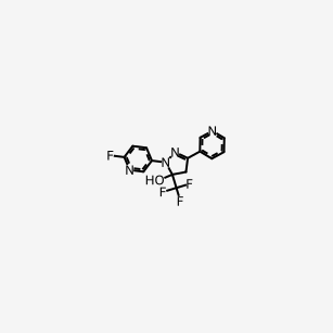 OC1(C(F)(F)F)CC(c2cccnc2)=NN1c1ccc(F)nc1